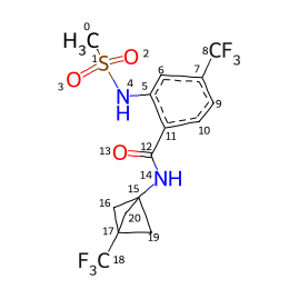 CS(=O)(=O)Nc1cc(C(F)(F)F)ccc1C(=O)NC12CC(C(F)(F)F)(C1)C2